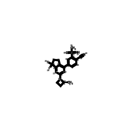 C[C@H]1CCN1c1nc(-c2ccc(C#N)c(S(C)(=N)=O)c2)c2c(n1)C(F)(F)CC2